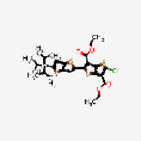 CCOC(=O)c1c(Cl)sc2c(C(=O)OCC)c(-c3cc4sc([Si](C(C)C)(C(C)C)C(C)C)cc4s3)sc12